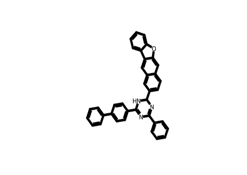 c1ccc(C2=NC(c3ccc4cc5oc6ccccc6c5cc4c3)NC(c3ccc(-c4ccccc4)cc3)=N2)cc1